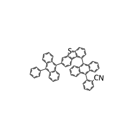 N#Cc1ccccc1-c1c2ccccc2c(-c2cccc3sc4cc(-c5c6ccccc6c(-c6ccccc6)c6ccccc56)ccc4c23)c2ccccc12